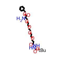 CC(C)(C)OC(=O)NNC(=O)CCOCCOCCOCCOCC(N)C(=O)OCc1ccccc1